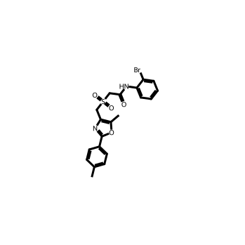 Cc1ccc(-c2nc(CS(=O)(=O)CC(=O)Nc3ccccc3Br)c(C)o2)cc1